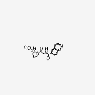 O=C(NCC(=O)N1CCCC1C(=O)O)c1ccc2cnccc2c1